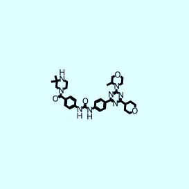 CC1COCCN1c1nc(-c2ccc(NC(=O)Nc3ccc(C(=O)N4CCNC(C)(C)C4)cc3)cc2)nc(C2CCOCC2)n1